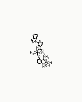 CC(C)(COc1cccc2c1C(N)=NS(O)(O)N2)NC(=O)c1ccnc(-n2nnc3ccccc32)c1